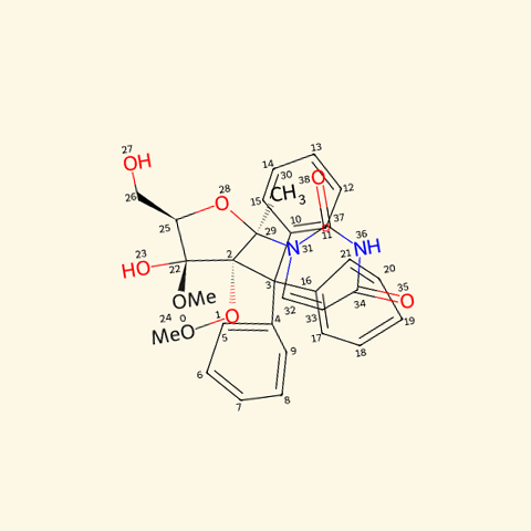 COO[C@]1(C(c2ccccc2)(c2ccccc2)c2ccccc2)[C@@](O)(OC)[C@@H](CO)O[C@@]1(C)n1ccc(=O)[nH]c1=O